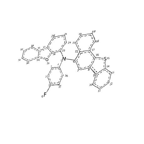 Fc1ccc(N(c2cc3c4ccccc4sc3c3ccccc23)c2cccc3c2oc2ccccc23)cc1